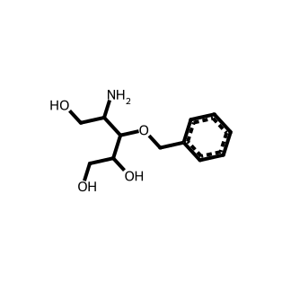 NC(CO)C(OCc1ccccc1)C(O)CO